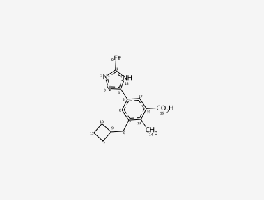 CCc1nnc(-c2cc(CC3CCC3)c(C)c(C(=O)O)c2)[nH]1